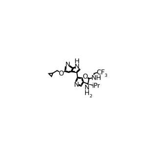 CC(C)[C@](N)(C(=O)NCC(F)(F)F)c1cncc(-c2c[nH]c3ncc(OCC4CC4)cc23)c1